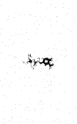 CC(C)(C)OC(=O)NCc1ccc(F)c(C(F)F)c1